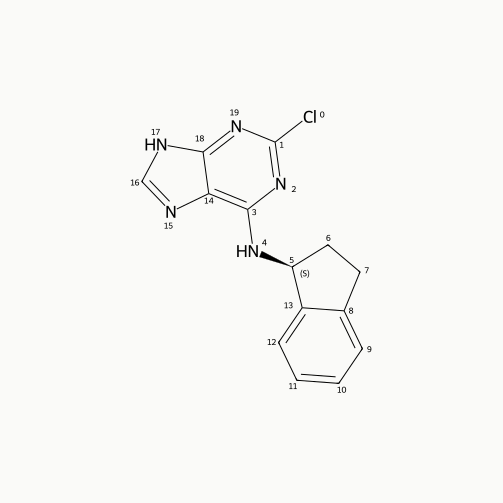 Clc1nc(N[C@H]2CCc3ccccc32)c2nc[nH]c2n1